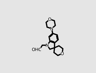 O=CCN1CC2(CCOCC2)c2ccc(N3CCOCC3)cc21